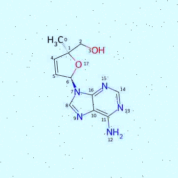 C[C@@]1(CO)C=C[C@H](n2cnc3c(N)ncnc32)O1